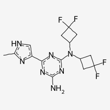 Cc1nc(-c2nc(N)nc(N(C3CC(F)(F)C3)C3CC(F)(F)C3)n2)c[nH]1